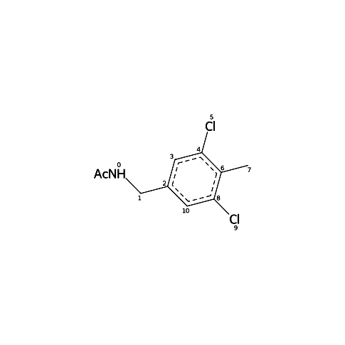 CC(=O)NCc1cc(Cl)c(C)c(Cl)c1